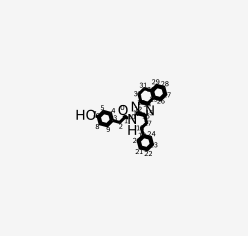 O=C(Cc1ccc(O)cc1)Nc1nc2c(nc1CCc1ccccc1)-c1ccccc1CC2